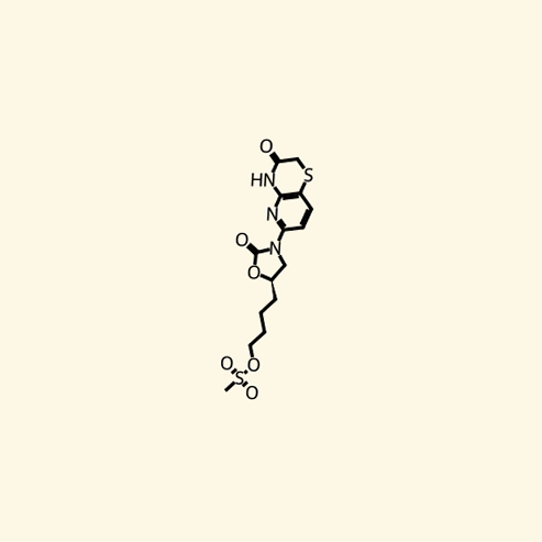 CS(=O)(=O)OCCCC[C@@H]1CN(c2ccc3c(n2)NC(=O)CS3)C(=O)O1